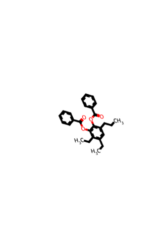 CCCc1cc(CC)c(CC)c(OC(=O)c2ccccc2)c1OC(=O)c1ccccc1